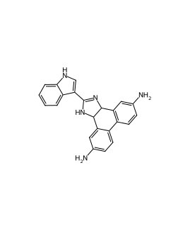 Nc1ccc2c(c1)C1N=C(c3c[nH]c4ccccc34)NC1c1cc(N)ccc1-2